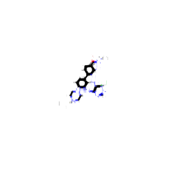 CC(C)NC(=O)c1ccc(-c2ccc(N3CCN(C)CC3)c(Nc3ncnc(Cl)c3N)c2)cc1